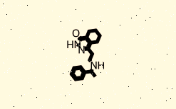 CC(NCCc1n[nH]c(=O)c2c1CCCC2)c1ccccc1